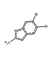 CC(C)c1cc2cn(C)nc2cc1Br